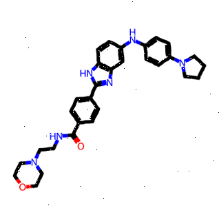 O=C(NCCN1CCOCC1)c1ccc(-c2nc3cc(Nc4ccc(N5CCCC5)cc4)ccc3[nH]2)cc1